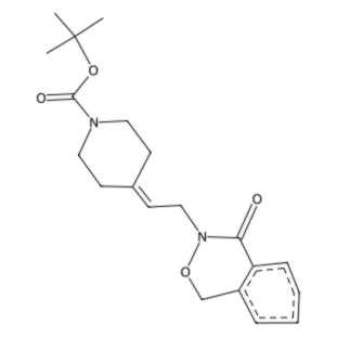 CC(C)(C)OC(=O)N1CCC(=CCN2OCc3ccccc3C2=O)CC1